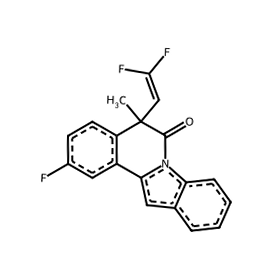 CC1(C=C(F)F)C(=O)n2c(cc3ccccc32)-c2cc(F)ccc21